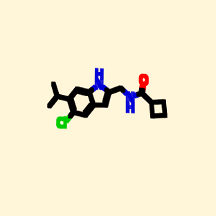 CC(C)c1cc2[nH]c(CNC(=O)C3CCC3)cc2cc1Cl